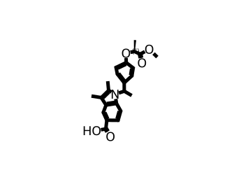 COC(=O)[C@H](C)Oc1ccc(C(C)n2c(C)c(C)c3cc(C(=O)O)ccc32)cc1